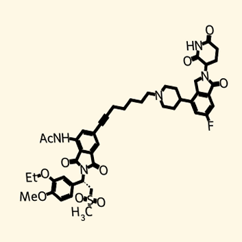 CCOc1cc([C@@H](CS(C)(=O)=O)N2C(=O)c3cc(C#CCCCCCN4CCC(c5cc(F)cc6c5CN(C5CCC(=O)NC5=O)C6=O)CC4)cc(NC(C)=O)c3C2=O)ccc1OC